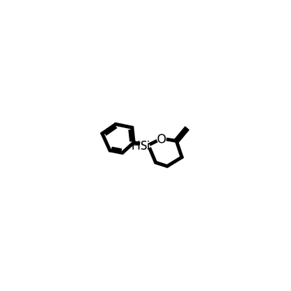 C=C1CCC[SiH](c2ccccc2)O1